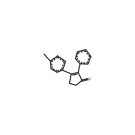 Cc1ccc(C2=C(c3ccccc3)C(=O)CC2)cc1